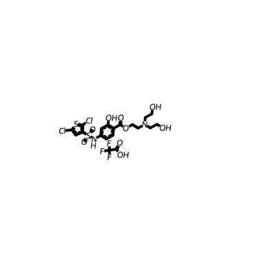 O=C(O)C(F)(F)F.O=C(OCCN(CCO)CCO)c1ccc(NS(=O)(=O)c2cc(Cl)sc2Cl)cc1O